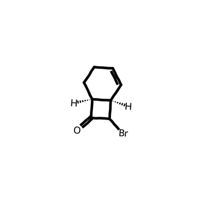 O=C1C(Br)[C@@H]2C=CCC[C@H]12